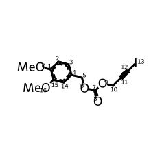 COc1ccc(COC(=O)OCC#CI)cc1OC